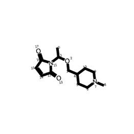 CC(OCC1CCN(C)CC1)N1C(=O)C=CC1=O